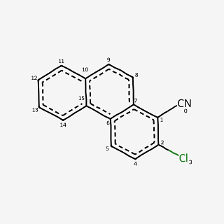 N#Cc1c(Cl)ccc2c1ccc1ccccc12